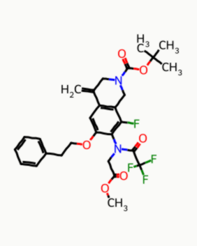 C=C1CN(C(=O)OC(C)(C)C)Cc2c1cc(OCCc1ccccc1)c(N(CC(=O)OC)C(=O)C(F)(F)F)c2F